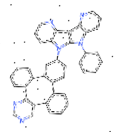 c1ccc(-n2c3cccnc3c3c4ncccc4n(-c4ccc5c(c4)-c4ccccc4-c4ncncc4-c4ccccc4-5)c32)cc1